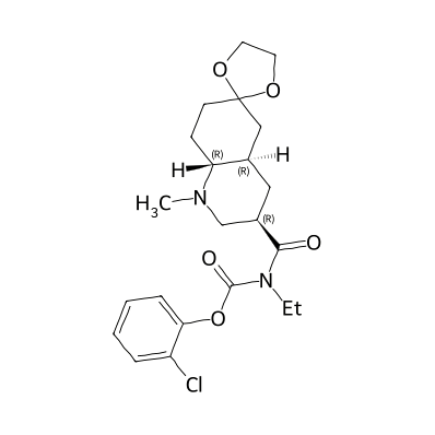 CCN(C(=O)Oc1ccccc1Cl)C(=O)[C@@H]1C[C@@H]2CC3(CC[C@H]2N(C)C1)OCCO3